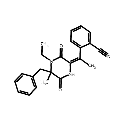 CCN1C(=O)C(=C(C)c2ccccc2C#N)NC(=O)C1(C)Cc1ccccc1